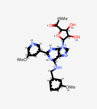 CNC(=O)C1OC(n2cnc3c(NCc4cccc(OC)c4)nc(-c4cncc(OC)c4)nc32)C(O)C1O